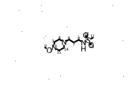 CON1CCN(CCCNS(C)(=O)=O)CC1